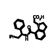 CC(C)CC(NC(=O)c1cccc2c1N(CC(=O)O)CC2)c1ccccc1